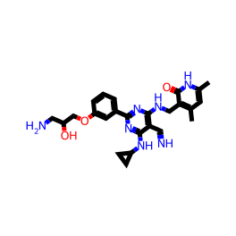 Cc1cc(C)c(CNc2nc(-c3cccc(OCC(O)CN)c3)nc(NC3CC3)c2C=N)c(=O)[nH]1